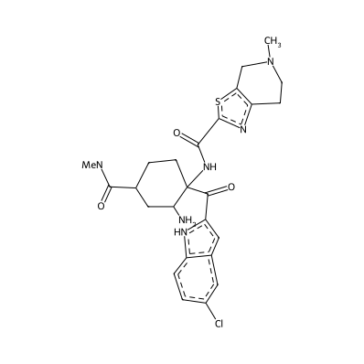 CNC(=O)C1CCC(NC(=O)c2nc3c(s2)CN(C)CC3)(C(=O)c2cc3cc(Cl)ccc3[nH]2)C(N)C1